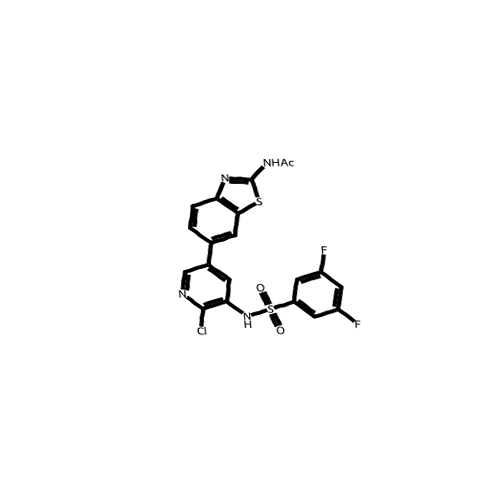 CC(=O)Nc1nc2ccc(-c3cnc(Cl)c(NS(=O)(=O)c4cc(F)cc(F)c4)c3)cc2s1